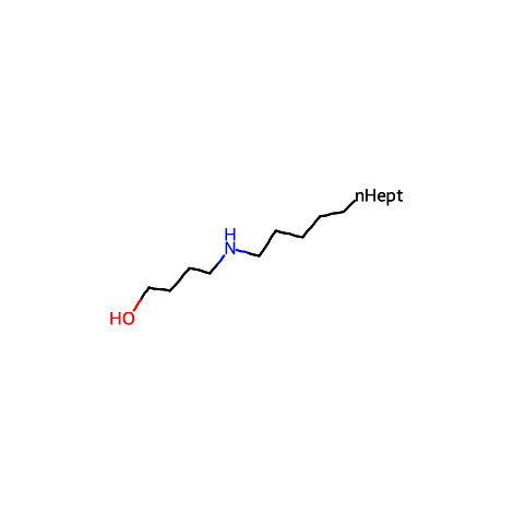 CCCCCCCCCCCCNCCCCO